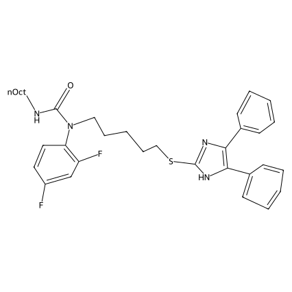 CCCCCCCCNC(=O)N(CCCCCSc1nc(-c2ccccc2)c(-c2ccccc2)[nH]1)c1ccc(F)cc1F